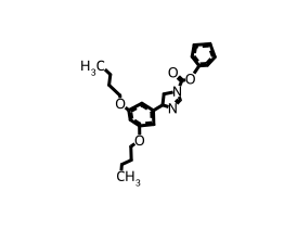 CCCCOc1cc(OCCCC)cc(C2CN(C(=O)Oc3ccccc3)C=N2)c1